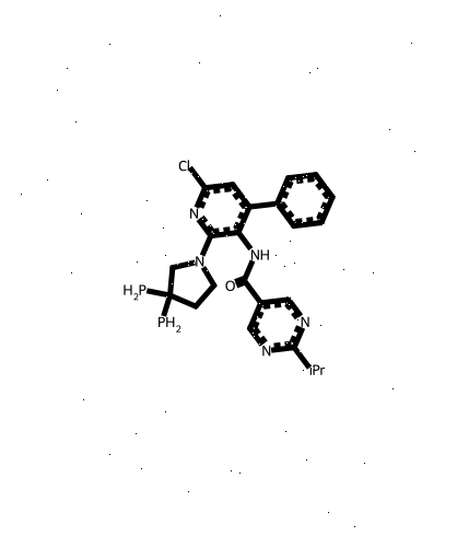 CC(C)c1ncc(C(=O)Nc2c(-c3ccccc3)cc(Cl)nc2N2CCC(P)(P)C2)cn1